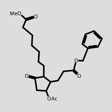 COC(=O)CCCCCCC1C(=O)CC(OC(C)=O)C1CCC(=O)OCc1ccccc1